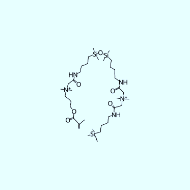 C=C(C)C(=O)OCCC[N+](C)(C)CC(=O)NCCCC[Si](C)(C)O[Si](C)(C)CCCCNC(=O)C[N+](C)(C)CC(=O)NCCCC[Si](C)(C)C